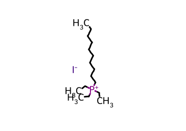 CCCCCCCCCC[P+](CC)(CC)CC.[I-]